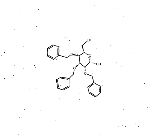 OC[C@H]1O[C@H](O)[C@H](OCc2ccccc2)[C@@H](OCc2ccccc2)[C@H]1OCc1ccccc1